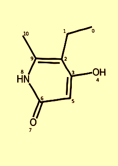 CCc1c(O)cc(=O)[nH]c1C